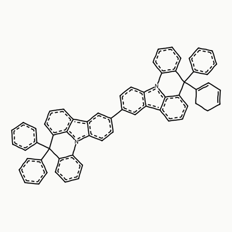 C1=CCCC(C2(c3ccccc3)c3ccccc3-n3c4ccc(-c5ccc6c(c5)c5cccc7c5n6-c5ccccc5C7(c5ccccc5)c5ccccc5)cc4c4cccc2c43)=C1